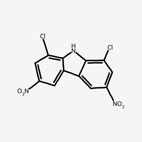 O=[N+]([O-])c1cc(Cl)c2[nH]c3c(Cl)cc([N+](=O)[O-])cc3c2c1